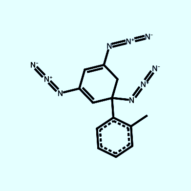 Cc1ccccc1C1(N=[N+]=[N-])C=C(N=[N+]=[N-])C=C(N=[N+]=[N-])C1